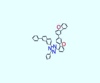 c1ccc(-c2ccc3ccc(-c4nc(-c5ccccc5)nc(-c5cccc6oc7cc(-c8ccc9oc%10ccccc%10c9c8)ccc7c56)n4)cc3c2)cc1